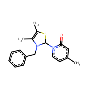 CC1=C(C)N(Cc2ccccc2)C(n2ccc(C)cc2=O)S1